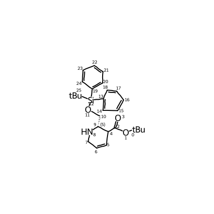 CC(C)(C)OC(=O)C1C=CCN[C@@H]1CO[Si](c1ccccc1)(c1ccccc1)C(C)(C)C